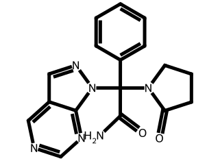 NC(=O)C(c1ccccc1)(N1CCCC1=O)n1ncc2cncnc21